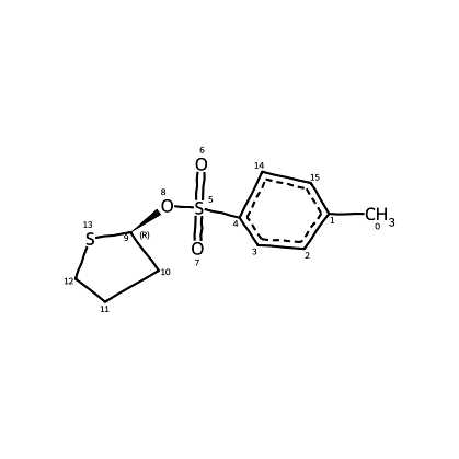 Cc1ccc(S(=O)(=O)O[C@H]2CCCS2)cc1